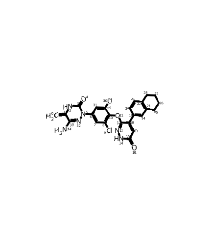 C=C1NC(=O)N(c2cc(Cl)c(Oc3n[nH]c(=O)cc3-c3ccc4c(c3)CCCC4)c(Cl)c2)N=C1N